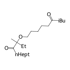 CCCCCCCC(=O)C(C)(CC)OCCCCCC(=O)C(C)CC